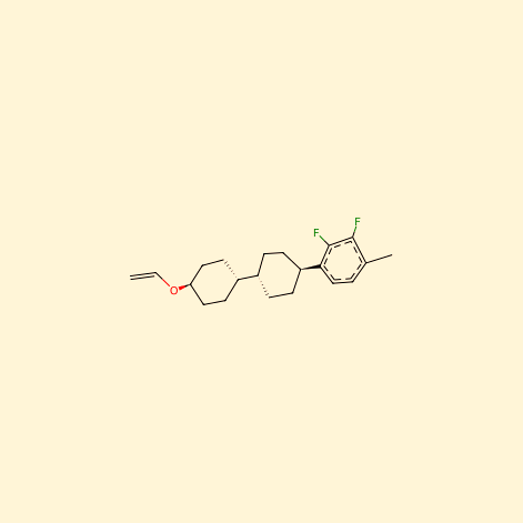 C=CO[C@H]1CC[C@H]([C@H]2CC[C@H](c3ccc(C)c(F)c3F)CC2)CC1